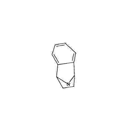 c1ccc2c(c1)C1CCC2[N]1